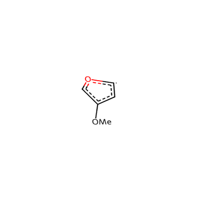 COc1c[c]oc1